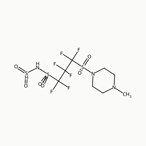 CN1CCN(S(=O)(=O)C(F)(F)C(F)(F)C(F)(F)S(=O)(=O)N[SH](=O)=O)CC1